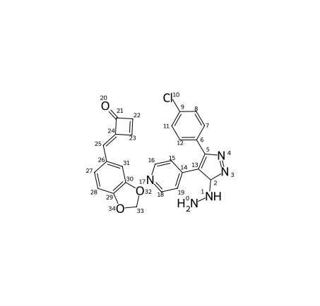 NNC1N=NC(c2ccc(Cl)cc2)=C1c1ccncc1.O=C1C=CC1=Cc1ccc2c(c1)OCO2